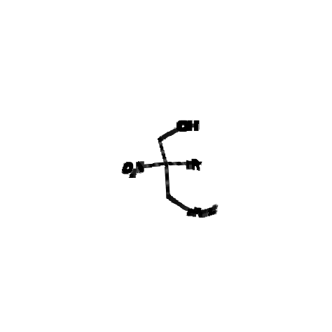 CCCCCCC(CO)(CCC)[N+](=O)[O-]